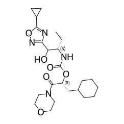 CC[C@H](NC(=O)O[C@H](CC1CCCCC1)C(=O)N1CCOCC1)C(O)c1noc(C2CC2)n1